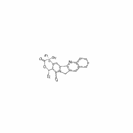 CCC1OC(=O)[C@](O)(CC)c2cc3n(c(=O)c21)Cc1cc2c[c]ccc2nc1-3